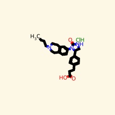 CCCCN1CCc2ccc(N3C(=O)NCC3c3ccc(CCC(=O)O)cc3)cc2CC1.Cl